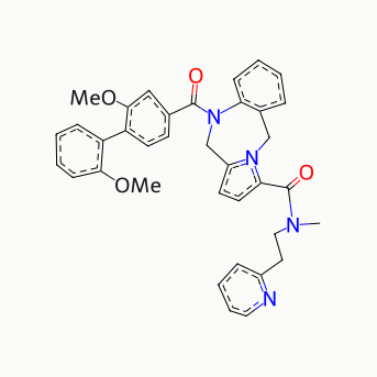 COc1ccccc1-c1ccc(C(=O)N2Cc3ccc(C(=O)N(C)CCc4ccccn4)n3Cc3ccccc32)cc1OC